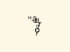 C[C@@H](COc1ccc(F)cc1)C1COC(N)=N1